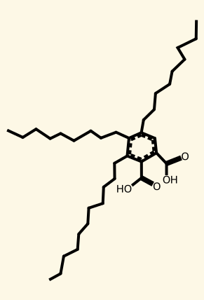 CCCCCCCCCCCc1c(CCCCCCCCC)c(CCCCCCCCC)cc(C(=O)O)c1C(=O)O